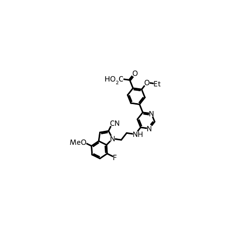 CCOc1cc(-c2cc(NCCn3c(C#N)cc4c(OC)ccc(F)c43)ncn2)ccc1C(=O)C(=O)O